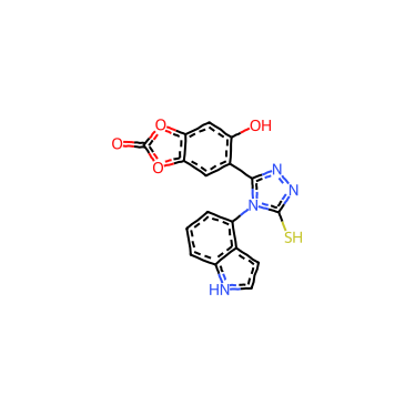 O=c1oc2cc(O)c(-c3nnc(S)n3-c3cccc4[nH]ccc34)cc2o1